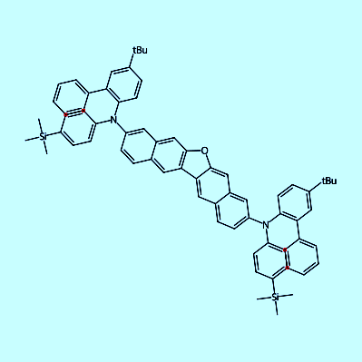 CC(C)(C)c1ccc(N(c2ccc([Si](C)(C)C)cc2)c2ccc3cc4c(cc3c2)oc2cc3cc(N(c5ccc([Si](C)(C)C)cc5)c5ccc(C(C)(C)C)cc5-c5ccccc5)ccc3cc24)c(-c2ccccc2)c1